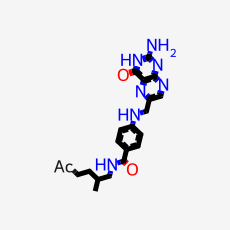 CC(=O)CCC(C)CNC(=O)c1ccc(NCc2cnc3nc(N)[nH]c(=O)c3n2)cc1